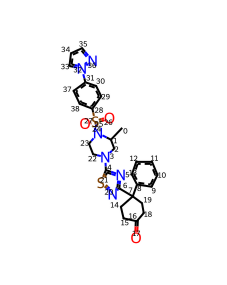 CC1CN(c2nc(C3(c4ccccc4)CCC(=O)CC3)ns2)CCN1S(=O)(=O)c1ccc(-n2cccn2)cc1